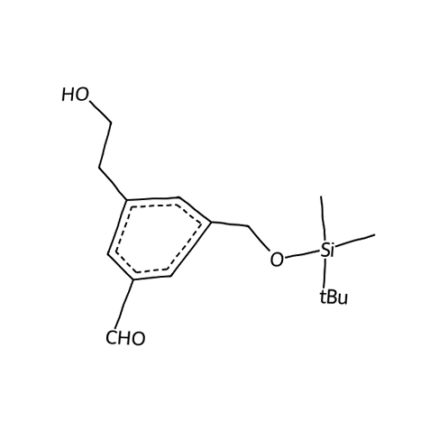 CC(C)(C)[Si](C)(C)OCc1cc(C=O)cc(CCO)c1